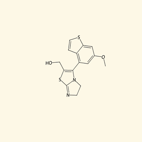 COc1cc(C2=C(CO)SC3=NCCN32)c2ccsc2c1